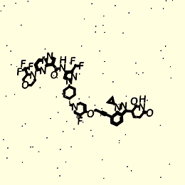 O=C1CCC(c2nn(C3CC3)c3c(C#CCOC4=CCN(C[C@H]5CC[C@H](n6cc(NC(=O)c7cnn8ccc(N9CCOCC9C(F)(F)F)nc78)c(C(F)F)n6)CC5)C[C@H]4F)cccc23)C(=O)N1